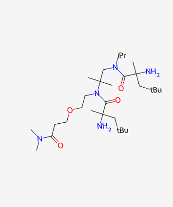 CC(C)N(CC(C)(C)N(CCOCCC(=O)N(C)C)C(=O)C(C)(N)CC(C)(C)C)C(=O)C(C)(N)CC(C)(C)C